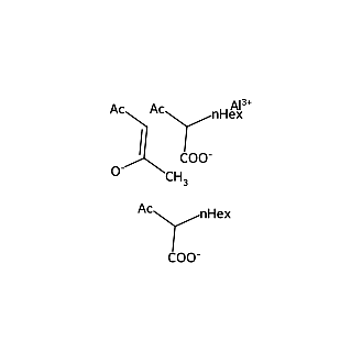 CC(=O)/C=C(/C)[O-].CCCCCCC(C(C)=O)C(=O)[O-].CCCCCCC(C(C)=O)C(=O)[O-].[Al+3]